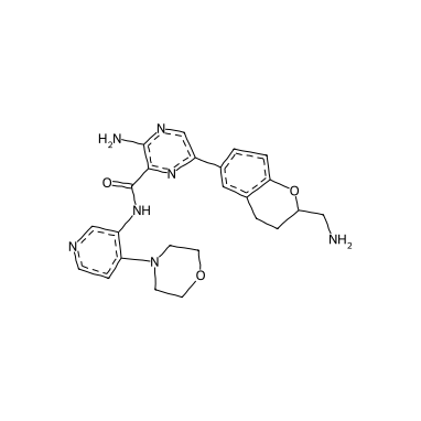 NCC1CCc2cc(-c3cnc(N)c(C(=O)Nc4cnccc4N4CCOCC4)n3)ccc2O1